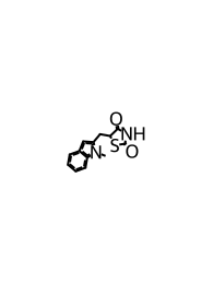 Cn1c(CC2SC(=O)NC2=O)cc2ccccc21